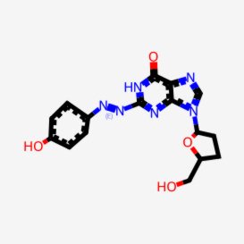 O=c1[nH]c(/N=N/c2ccc(O)cc2)nc2c1ncn2C1CCC(CO)O1